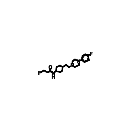 O=C(CCF)NC1CCC(CCN2CCN(c3ccc(F)cc3)CC2)CC1